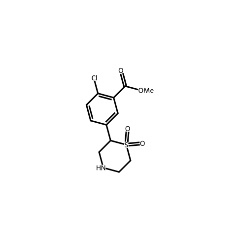 COC(=O)c1cc(C2CNCCS2(=O)=O)ccc1Cl